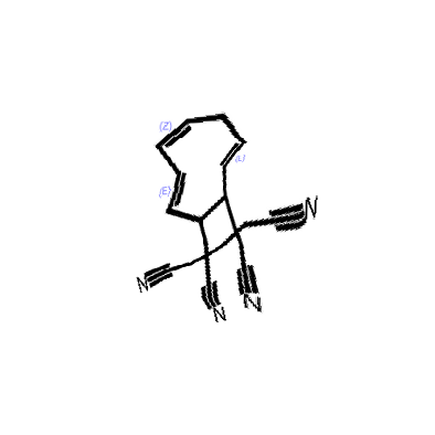 N#CC1(C#N)C2/C=C/C=C\C/C=C/C2C1(C#N)C#N